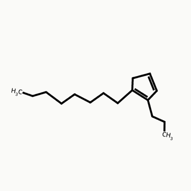 CCCCCCCCC1=C(CCC)C=CC1